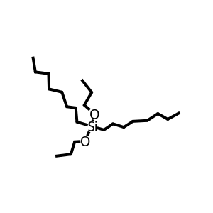 CCCCCCCC[Si](CCCCCCCC)(OCCC)OCCC